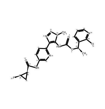 C[C@@H](OC(=O)Nc1c(-c2ccc(NC(=O)[C@H]3C[C@H]3F)cn2)nnn1C)c1cccnc1Cl